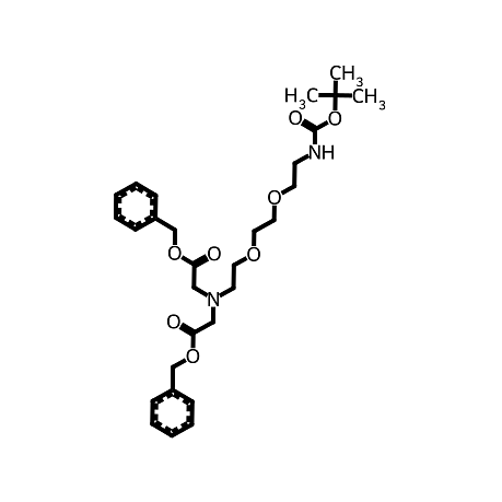 CC(C)(C)OC(=O)NCCOCCOCCN(CC(=O)OCc1ccccc1)CC(=O)OCc1ccccc1